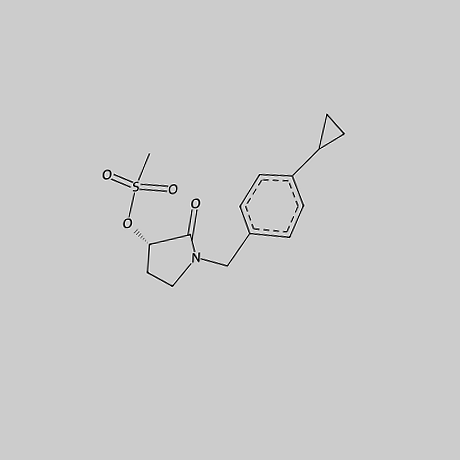 CS(=O)(=O)O[C@H]1CCN(Cc2ccc(C3CC3)cc2)C1=O